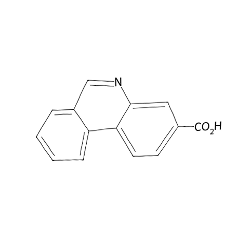 O=C(O)c1ccc2c(c1)ncc1ccccc12